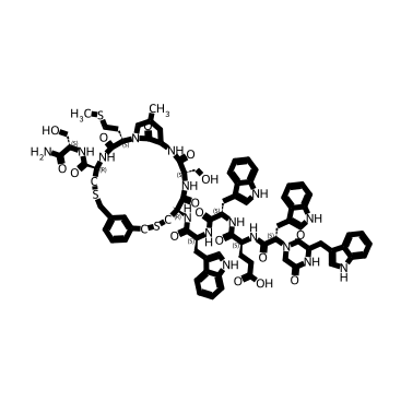 CSCC[C@H]1C(=O)N[C@H](C(=O)N[C@@H](CO)C(N)=O)CSCc2cccc(c2)CSC[C@H](NC(=O)[C@H](Cc2c[nH]c3ccccc23)NC(=O)[C@H](Cc2c[nH]c3ccccc23)NC(=O)[C@H](CCC(=O)O)NC(=O)[C@H](Cc2c[nH]c3ccccc23)N2CC(=O)NC(Cc3c[nH]c4ccccc34)C2=O)C(=O)N[C@@H](CO)C(=O)NC2CC(C)CN1C2=O